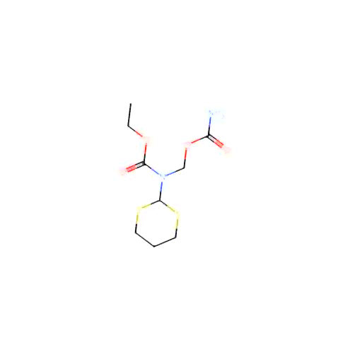 CCOC(=O)N(COC(N)=O)C1SCCCS1